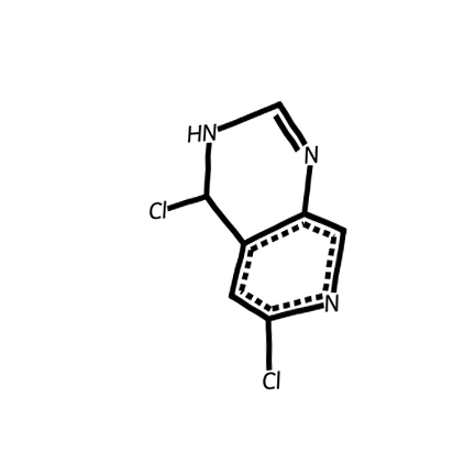 Clc1cc2c(cn1)N=CNC2Cl